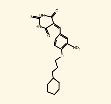 O=C1NC(=S)NC(=O)C1=Cc1ccc(OCCCC2CCCCC2)c([N+](=O)[O-])c1